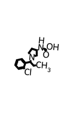 CCC(c1ccccc1Cl)N1CC[C@H](NC(=O)O)C1